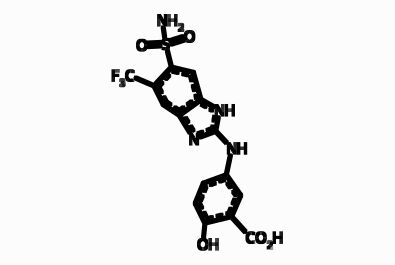 NS(=O)(=O)c1cc2[nH]c(Nc3ccc(O)c(C(=O)O)c3)nc2cc1C(F)(F)F